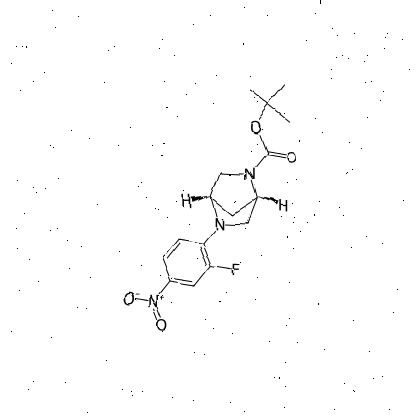 CC(C)(C)OC(=O)N1C[C@@H]2C[C@H]1CN2c1ccc([N+](=O)[O-])cc1F